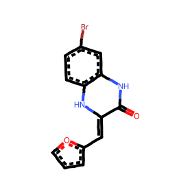 O=C1Nc2cc(Br)ccc2N/C1=C\c1ccco1